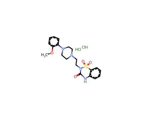 COc1ccccc1N1CCN(CCN2C(=O)Nc3ccccc3S2(=O)=O)CC1.Cl.Cl